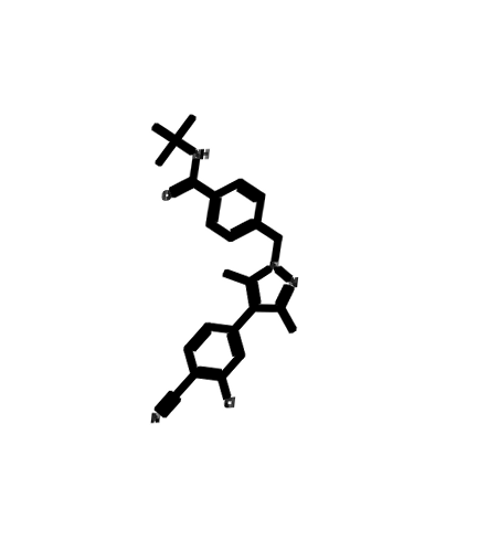 Cc1nn(Cc2ccc(C(=O)NC(C)(C)C)cc2)c(C)c1-c1ccc(C#N)c(Cl)c1